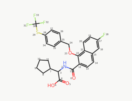 O=C(NC(C(=O)O)C1CCCC1)c1ccc2cc(F)ccc2c1OCc1ccc(SC(F)(F)F)cc1